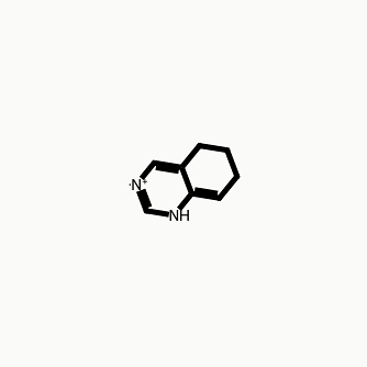 C1=[N+]C=C2CCCC=C2N1